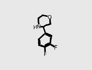 Fc1ccc(C2COCCN2)cc1F